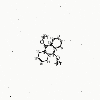 CC(C)Oc1c2c(c(OC(C)C)c3ccccc13)CC=CC2